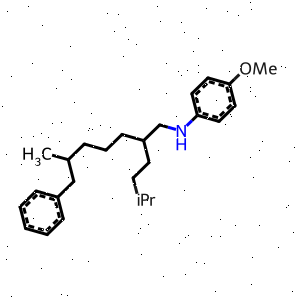 COc1ccc(NCC(CCCC(C)Cc2ccccc2)CCC(C)C)cc1